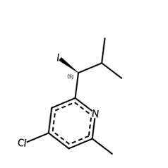 Cc1cc(Cl)cc([C@@H](I)C(C)C)n1